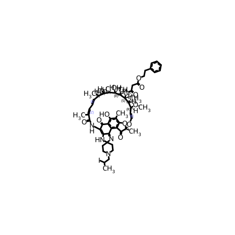 CO[C@H]1/C=C/O[C@@]2(C)Oc3c(C)c(O)c4c(c3C2=O)C2=NC3(CCN(CC(C)I)CC3)NC2=C(NC(=O)/C(C)=C\C=C\[C@H](C)[C@H](O)[C@@H](C)[C@@H](O)[C@@H](C)[C@H](OC(=O)CC(=O)OCCc2ccccc2)[C@@H]1C)C4=O